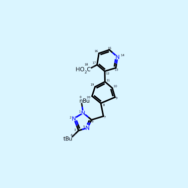 CCCCn1nc(C(C)(C)C)nc1Cc1ccc(-c2cnccc2C(=O)O)cc1